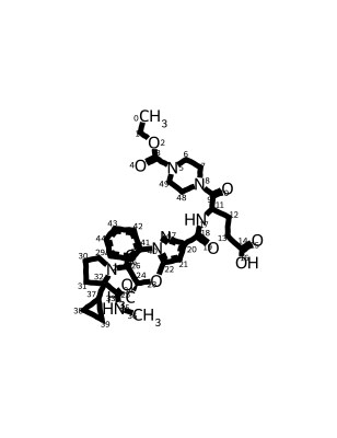 CCOC(=O)N1CCN(C(=O)C(CCC(=O)O)NC(=O)c2cc(O[C@@H](C)C(=O)N3CCCC3(C(=O)NC)C3CC3)n(-c3ccccc3)n2)CC1